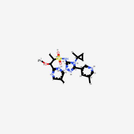 Cc1cnc(C(OC(C)C)C(C)S(=O)(=O)Nc2nnc(-c3cncc(C)c3)n2C2(C)CC2)nc1